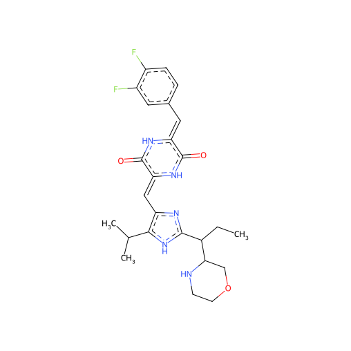 CCC(c1nc(/C=c2\[nH]c(=O)/c(=C/c3ccc(F)c(F)c3)[nH]c2=O)c(C(C)C)[nH]1)C1COCCN1